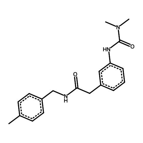 Cc1ccc(CNC(=O)Cc2cccc(NC(=O)N(C)C)c2)cc1